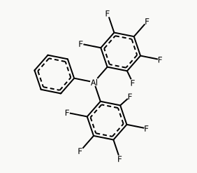 Fc1c(F)c(F)[c]([Al]([c]2ccccc2)[c]2c(F)c(F)c(F)c(F)c2F)c(F)c1F